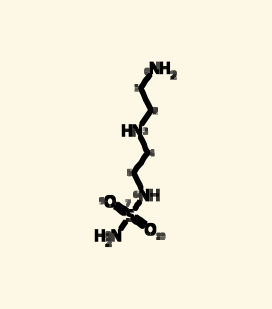 NCCNCCNS(N)(=O)=O